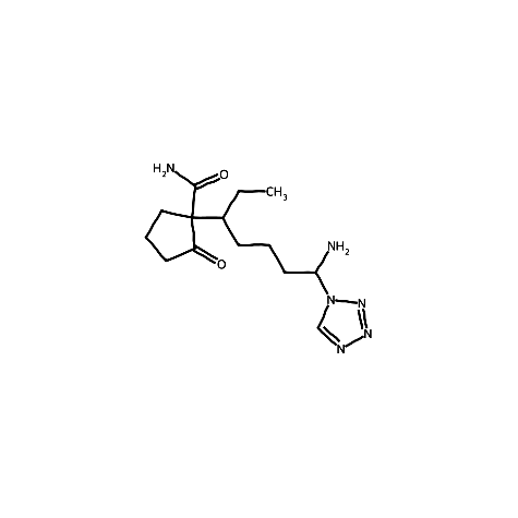 CCC(CCCC(N)n1cnnn1)C1(C(N)=O)CCCC1=O